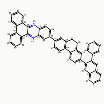 c1ccc(-c2cc3ccccc3cc2-c2ccc3c(c2)CCc2cc(-c4ccc5nc6c7ccccc7c7ccccc7c6nc5c4)ccc2-3)cc1